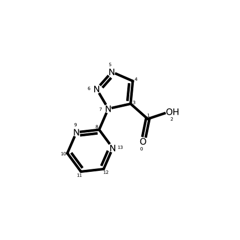 O=C(O)c1cnnn1-c1ncccn1